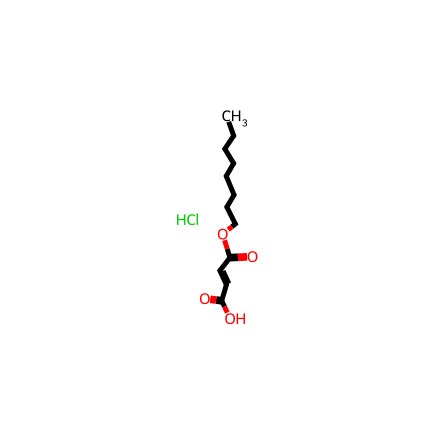 CCCCCCCCOC(=O)C=CC(=O)O.Cl